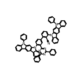 N#Cc1c(-c2ccc(-n3c4ccccc4c4cc5c6ccccc6n(-c6ccccc6)c5cc43)c(-c3nc(-c4ccccc4)nc(-c4ccccc4)n3)c2)cccc1-n1c2ccccc2c2cc3c4ccccc4n(-c4ccccc4)c3cc21